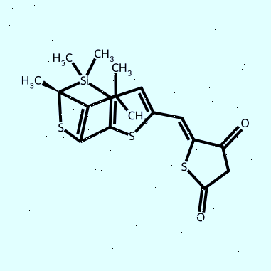 CC(C)C1=C2S[C@]1(C)[Si](C)(C)c1cc(/C=C3\SC(=O)CC3=O)sc12